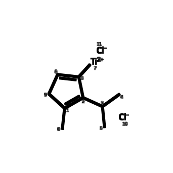 CC1=C(C(C)C)[C]([Ti+2])=CC1.[Cl-].[Cl-]